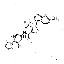 Cc1ccc2c(-n3ncc(C(=O)Nc4cnc(-n5nccn5)c(Cl)c4)c3C(F)(F)F)cccc2n1